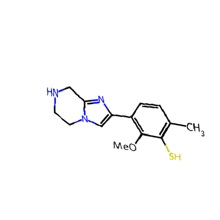 COc1c(-c2cn3c(n2)CNCC3)ccc(C)c1S